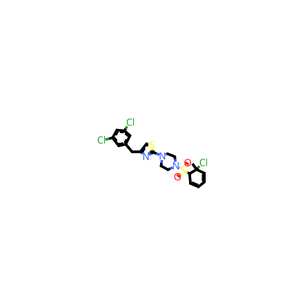 CC1(Cl)C=CC=CC1S(=O)(=O)N1CCN(c2nc(Cc3cc(Cl)cc(Cl)c3)cs2)CC1